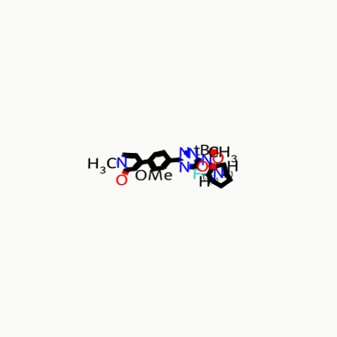 COc1cc(-c2ccn(C)c(=O)c2)ccc1-c1ncc(N(C)[C@H]2C[C@@H]3CC[C@H]([C@H]2F)N3C(=O)OC(C)(C)C)nn1